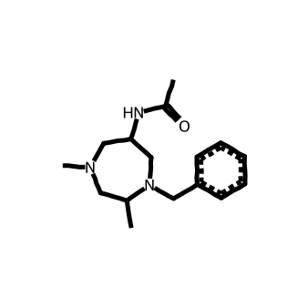 CC(=O)NC1CN(C)CC(C)N(Cc2ccccc2)C1